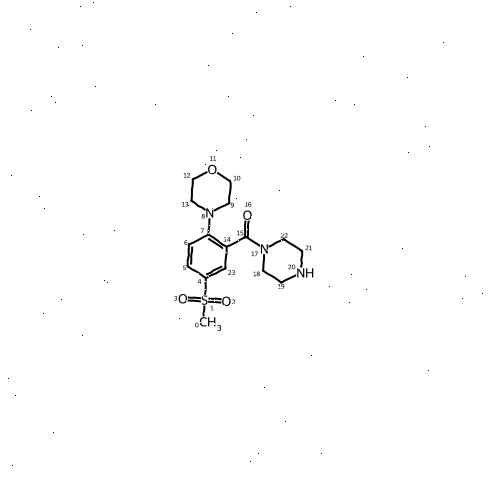 CS(=O)(=O)c1ccc(N2CCOCC2)c(C(=O)N2CCNCC2)c1